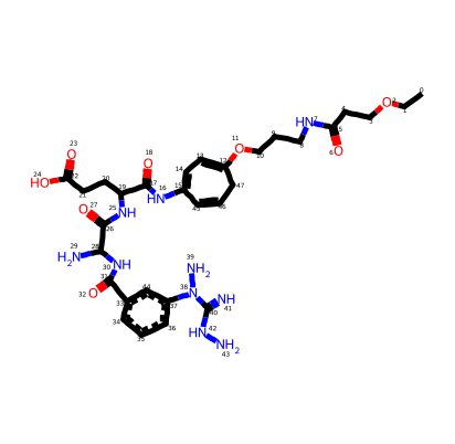 CCOCCC(=O)NCCCOC1=CC=C(NC(=O)C(CCC(=O)O)NC(=O)C(N)NC(=O)c2cccc(N(N)C(=N)NN)c2)C=CC1